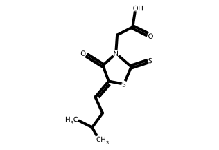 CC(C)C/C=C1\SC(=S)N(CC(=O)O)C1=O